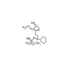 C=CC[C@@H]1C(CC[C@](C)(O[Si](C)(C)C(C)(C)C)C2CCCCC2)=CC[C@@H]1O